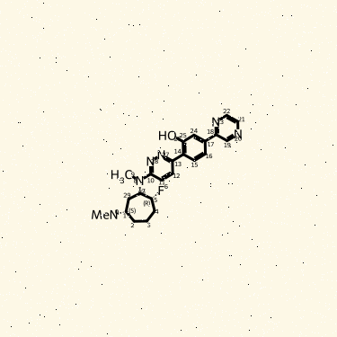 CN[C@H]1CCC[C@@H](F)[C@@H](N(C)c2ccc(-c3ccc(-c4cnccn4)cc3O)nn2)C1